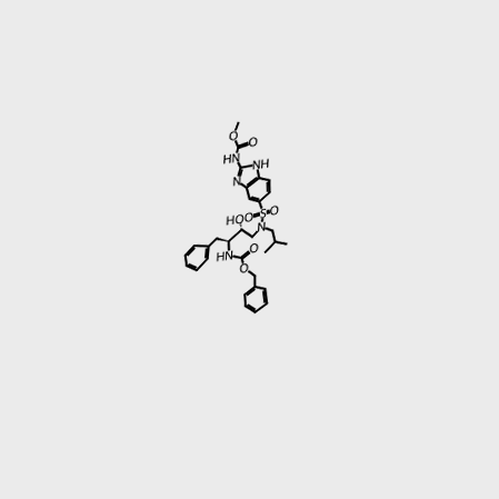 COC(=O)Nc1nc2cc(S(=O)(=O)N(CC(C)C)C[C@@H](O)[C@H](Cc3ccccc3)NC(=O)OCc3ccccc3)ccc2[nH]1